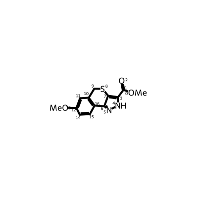 COC(=O)c1[nH]nc2c1SCc1cc(OC)ccc1-2